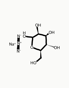 OC[C@H]1OC(O)[C@@H](O)[C@@H](O)[C@@H]1O.[N-]=[N+]=[N-].[Na+]